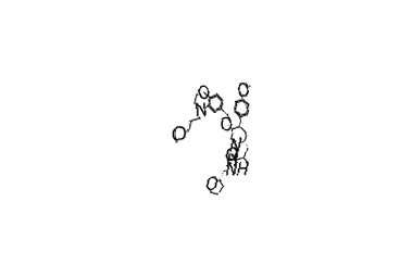 COCCCN1CCOc2ccc(CO[C@H]3CN[C@@H](CC(C)C(=O)NC[C@@H]4CCCO4)C[C@@H]3c3ccc(OC)cc3)cc21